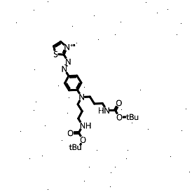 C[n+]1ccsc1/N=N/c1ccc(N(CCCNC(=O)OC(C)(C)C)CCCNC(=O)OC(C)(C)C)cc1